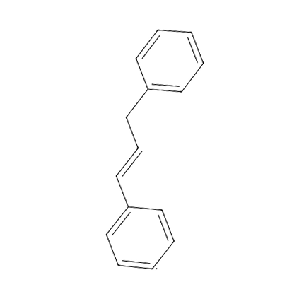 [c]1ccc(/C=C/Cc2ccccc2)cc1